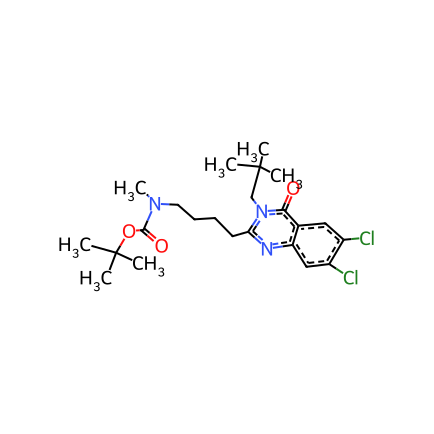 CN(CCCCc1nc2cc(Cl)c(Cl)cc2c(=O)n1CC(C)(C)C)C(=O)OC(C)(C)C